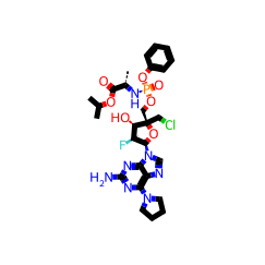 CC(C)OC(=O)[C@H](C)N[P@](=O)(OC[C@@]1(CCl)O[C@@H](n2cnc3c(N4CCCC4)nc(N)nc32)[C@@H](F)[C@@H]1O)Oc1ccccc1